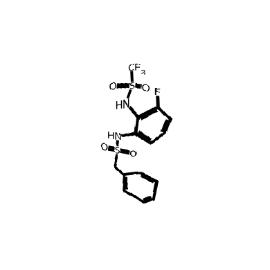 O=S(=O)(Cc1ccccc1)Nc1cccc(F)c1NS(=O)(=O)C(F)(F)F